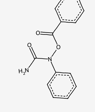 NC(=O)N(OC(=O)c1ccccc1)c1ccccc1